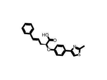 Cc1nc(-c2ccc(O[C@@H](CC=Cc3ccccc3)C(=O)O)cc2)cs1